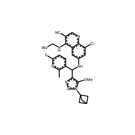 COc1c(C(Nc2cc(Cl)c3ncc(C#N)c(NCC(C)(C)C)c3c2)c2ccc(F)nc2C)nnn1C12CC(C1)C2